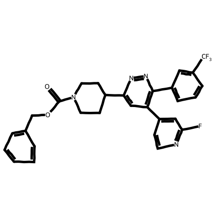 O=C(OCc1ccccc1)N1CCC(c2cc(-c3ccnc(F)c3)c(-c3cccc(C(F)(F)F)c3)nn2)CC1